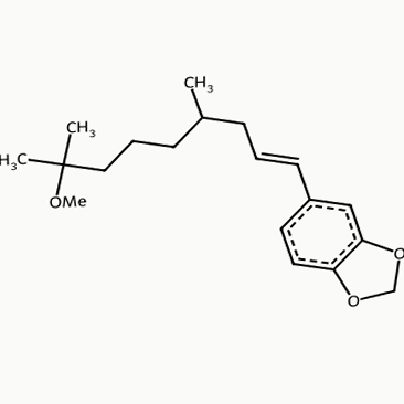 COC(C)(C)CCCC(C)C/C=C/c1ccc2c(c1)OCO2